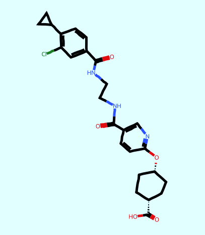 O=C(NCCNC(=O)c1ccc(C2CC2)c(Cl)c1)c1ccc(O[C@H]2CC[C@@H](C(=O)O)CC2)nc1